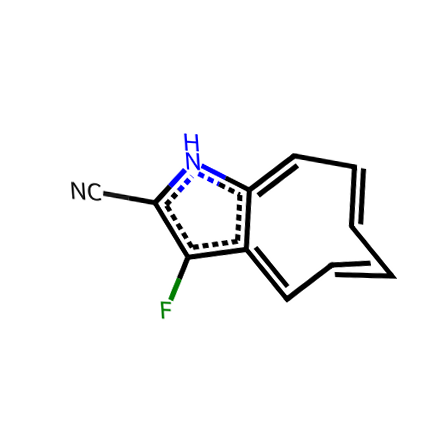 N#Cc1[nH]c2/c(c1F)=C\C=C\C=C\C=2